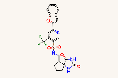 O=C1NC(=O)C2(CCCC2CNS(=O)(=O)c2cnc(-c3cc4ccccc4o3)cc2C(F)(F)F)N1